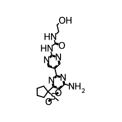 CS(=O)(=O)C1(c2cc(N)nc(-c3cnc(NC(=O)NCCO)nc3)n2)CCCC1